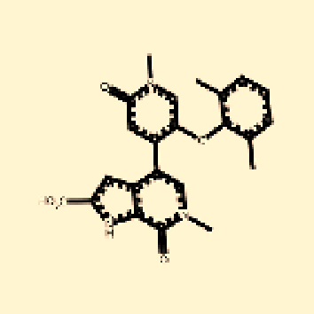 Cc1cccc(C)c1Oc1cn(C)c(=O)cc1-c1cn(C)c(=O)c2[nH]c(C(=O)O)cc12